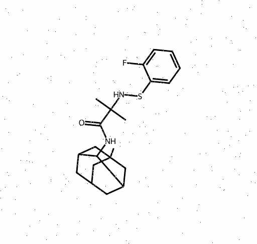 CC12CC3CC(C1)C(NC(=O)C(C)(C)NSc1ccccc1F)C(C3)C2